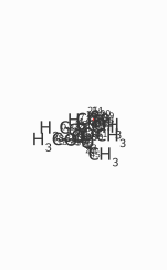 C=CCOc1cc(Cl)c(CCC(C)(C)[Si](O)(c2ccccc2)c2ccccc2)cc1C1O[C@H](COCCCC)C[C@H](OCCCC)[C@H]1OCCCC